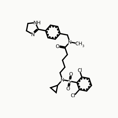 CN(Cc1ccc(C2=NCCN2)cc1)C(=O)CCCCN(C1CC1)S(=O)(=O)c1c(Cl)cccc1Cl